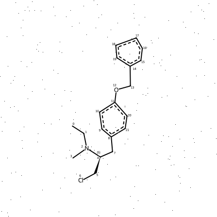 CCN(C)[C@H](CCl)Cc1ccc(OCc2ccccc2)cc1